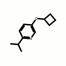 CC(C)c1ccc(OC2CCC2)cn1